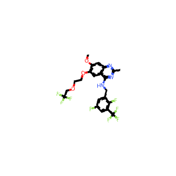 COc1cc2nc(C)nc(NCc3cc(F)cc(C(F)(F)F)c3F)c2cc1OCCOCC(F)(F)F